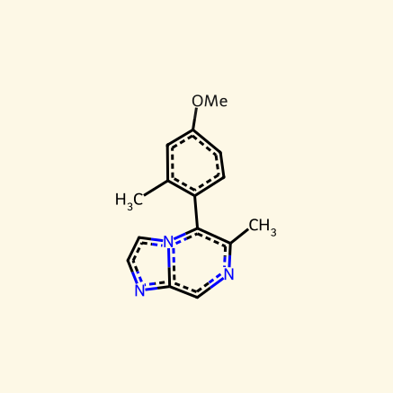 COc1ccc(-c2c(C)ncc3nccn23)c(C)c1